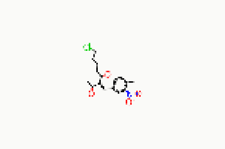 CC(=O)C(=Cc1ccc(C)c([N+](=O)[O-])c1)C(=O)CCCCCl